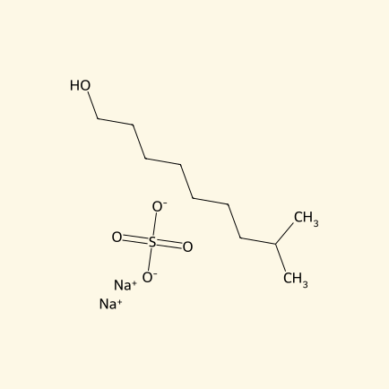 CC(C)CCCCCCCO.O=S(=O)([O-])[O-].[Na+].[Na+]